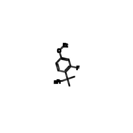 CCCC(C)(C)c1ccc(OCC)cc1F